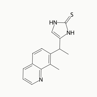 Cc1c(C(C)c2c[nH]c(=S)[nH]2)ccc2cccnc12